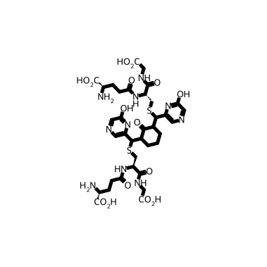 N[C@H](CCC(=O)N[C@@H](CSC(c1cncc(O)n1)C1CCCC(C(SC[C@H](NC(=O)CC[C@H](N)C(=O)O)C(=O)NCC(=O)O)c2cncc(O)n2)C1=O)C(=O)NCC(=O)O)C(=O)O